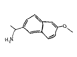 COc1ccc2cc(C(C)N)ccc2c1